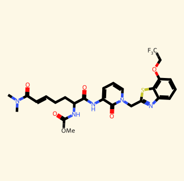 COC(=O)NC(CCC=CC(=O)N(C)C)C(=O)Nc1cccn(Cc2nc3cccc(OCC(F)(F)F)c3s2)c1=O